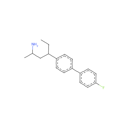 CCC(CC(C)N)c1ccc(-c2ccc(F)cc2)cc1